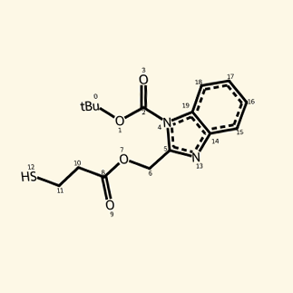 CC(C)(C)OC(=O)n1c(COC(=O)CCS)nc2ccccc21